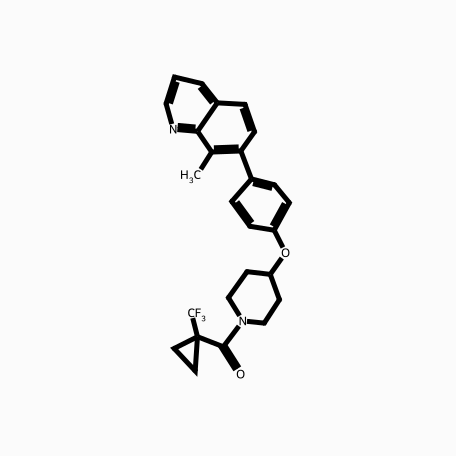 Cc1c(-c2ccc(OC3CCN(C(=O)C4(C(F)(F)F)CC4)CC3)cc2)ccc2cccnc12